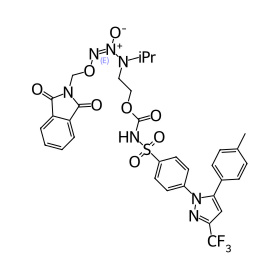 Cc1ccc(-c2cc(C(F)(F)F)nn2-c2ccc(S(=O)(=O)NC(=O)OCCN(C(C)C)/[N+]([O-])=N\OCN3C(=O)c4ccccc4C3=O)cc2)cc1